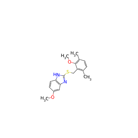 COc1ccc2[nH]c(SCc3c(C)ccc(C)c3OC)nc2c1